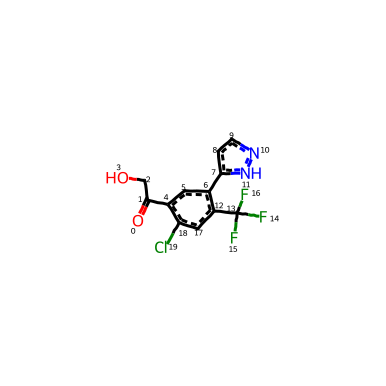 O=C(CO)c1cc(-c2ccn[nH]2)c(C(F)(F)F)cc1Cl